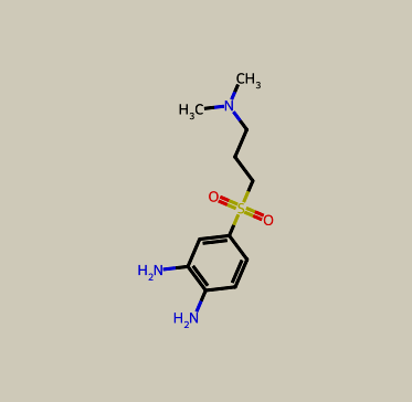 CN(C)CCCS(=O)(=O)c1ccc(N)c(N)c1